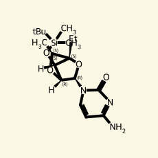 CC[C@]12O[C@@H](n3ccc(N)nc3=O)[C@H](O[C@H]1C)[C@@H]2O[Si](C)(C)C(C)(C)C